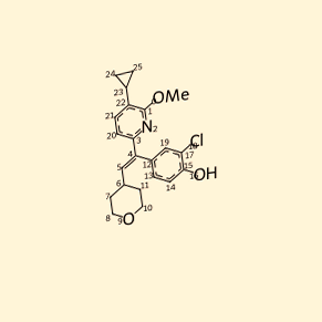 COc1nc(C(=CC2CCOCC2)c2ccc(O)c(Cl)c2)ccc1C1CC1